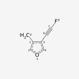 [CH2]c1cocc1C#CF